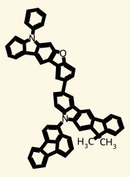 CC1(C)c2ccccc2-c2cc3c4cc(-c5ccc6oc7cc8c(cc7c6c5)c5ccccc5n8-c5ccccc5)ccc4n(-c4ccc5c6c(cccc46)-c4ccccc4-5)c3cc21